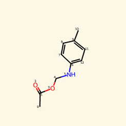 CC(=O)OCNc1ccc(C)cc1